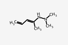 C=C/C=C(\C)NN(C)C